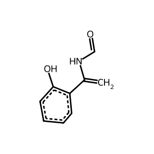 C=C(NC=O)c1ccccc1O